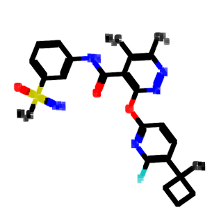 Cc1c(C(F)(F)F)nnc(Oc2ccc(C3(C#N)CCC3)c(F)n2)c1C(=O)Nc1cccc(S(C)(=N)=O)c1